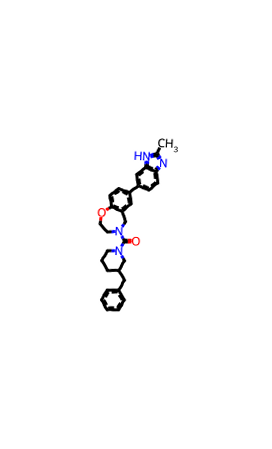 Cc1nc2ccc(-c3ccc4c(c3)CN(C(=O)N3CCCC(Cc5ccccc5)C3)CCO4)cc2[nH]1